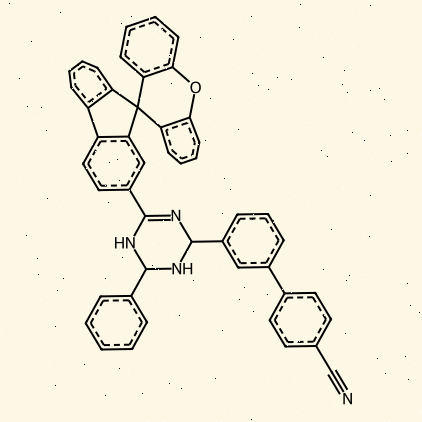 N#Cc1ccc(-c2cccc(C3N=C(c4ccc5c(c4)C4(c6ccccc6Oc6ccccc64)c4ccccc4-5)NC(c4ccccc4)N3)c2)cc1